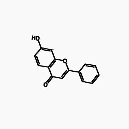 O=c1cc(-c2ccccc2)oc2[c]c(O)ccc12